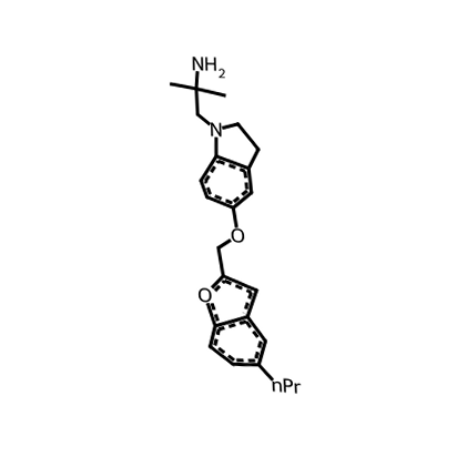 CCCc1ccc2oc(COc3ccc4c(c3)CCN4CC(C)(C)N)cc2c1